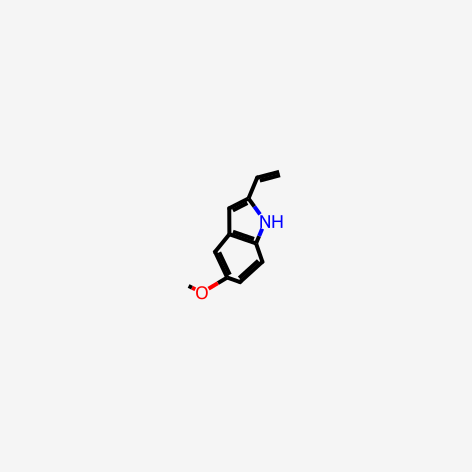 C=Cc1cc2cc(OC)ccc2[nH]1